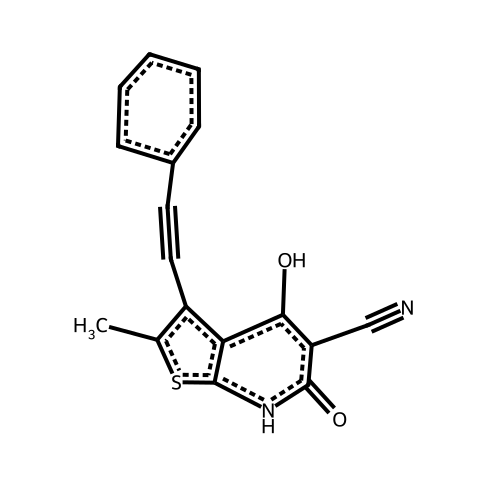 Cc1sc2[nH]c(=O)c(C#N)c(O)c2c1C#Cc1ccccc1